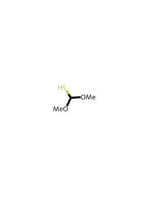 CO[C](S)OC